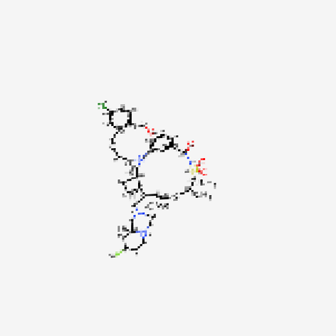 CO[C@@]1(CN2CCN3CC[C@@H](F)C[C@@H]3C2)/C=C/C[C@H](C)[C@@H](C)S(=O)(=O)NC(=O)c2ccc3c(c2)N(CCCCc2cc(Cl)ccc2CO3)C[C@@H]2CC[C@H]21